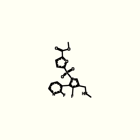 CNCc1cn(S(=O)(=O)c2ccc(C(=O)OC)o2)c(-c2cccnc2F)c1F